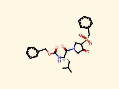 CC(C)C[C@H](NC(=O)OCc1ccccc1)C(=O)N1CC(=O)C(S(=O)(=O)Cc2ccccc2)C1